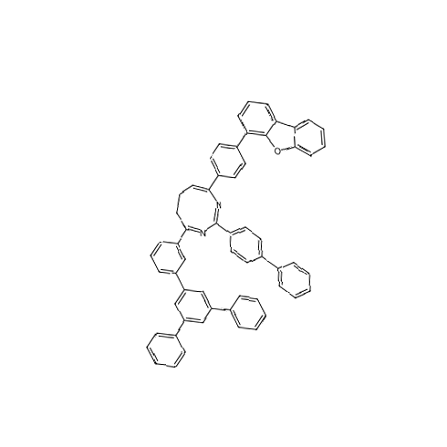 C1=C(c2ccc(-c3cccc4c3oc3ccccc34)cc2)/N=C(c2ccc(-c3ccccc3)cc2)\N=C(\c2cccc(-c3cc(-c4ccccc4)cc(-c4ccccc4)c3)c2)CC\1